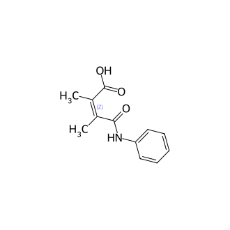 C/C(C(=O)O)=C(\C)C(=O)Nc1ccccc1